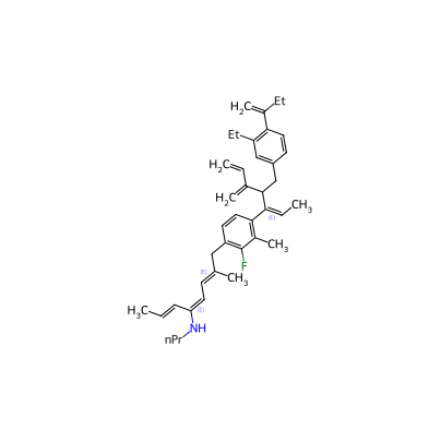 C=CC(=C)C(Cc1ccc(C(=C)CC)c(CC)c1)/C(=C\C)c1ccc(C/C(C)=C/C=C(\C=CC)NCCC)c(F)c1C